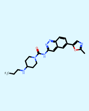 Cc1ncc(-c2ccc3nnc(NC(=O)N4CCC(NCCC(F)(F)F)CC4)cc3c2)o1